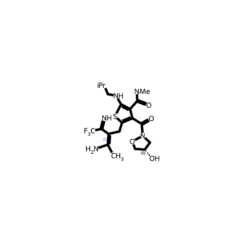 CNC(=O)c1c(NCC(C)C)sc(C/C(C(=N)C(F)(F)F)=C(\C)N)c1C(=O)N1C[C@H](O)CO1